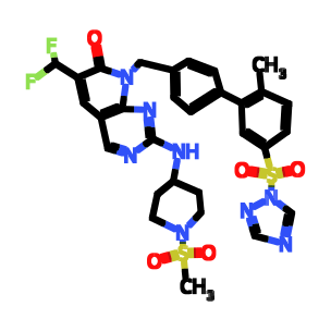 Cc1ccc(S(=O)(=O)n2cncn2)cc1-c1ccc(Cn2c(=O)c(C(F)F)cc3cnc(NC4CCN(S(C)(=O)=O)CC4)nc32)cc1